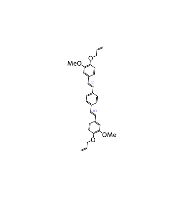 C=CCOc1ccc(/C=C/c2ccc(/C=C/c3ccc(OCC=C)c(OC)c3)cc2)cc1OC